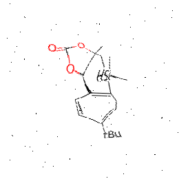 C[SiH](C)c1cc(C(C)(C)C)ccc1[C@H]1OC(=O)OC1(C)C